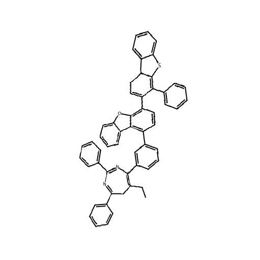 CCC1=C(c2cccc(-c3ccc(C4=CCC5C(=C4c4ccccc4)Sc4ccccc45)c4oc5ccccc5c34)c2)N=C(c2ccccc2)N=C(c2ccccc2)C1